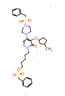 CC1CCC(Oc2c(N3CCN(S(=O)(=O)Cc4ccccc4)CC3)cnn(CCCCCOS(=O)(=O)Cc3ccccc3)c2=O)C1